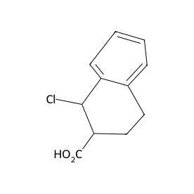 O=C(O)C1CCc2ccccc2C1Cl